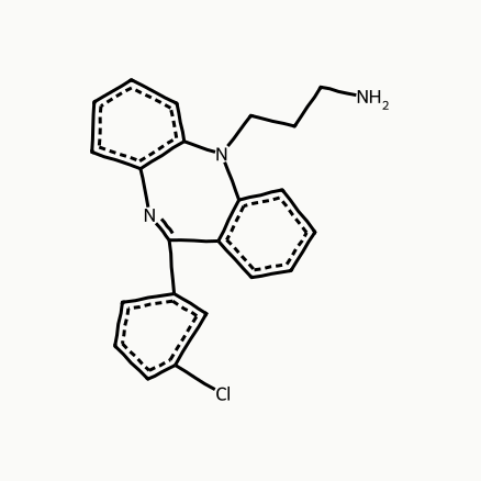 NCCCN1c2ccccc2N=C(c2cccc(Cl)c2)c2ccccc21